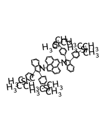 C[Si](C)(C)c1ccc(-c2c(-c3ccc([Si](C)(C)C)cc3)n(-c3cc4cccc5c(-n6c(-c7ccc([Si](C)(C)C)cc7)c(-c7ccc([Si](C)(C)C)cc7)c7ccccc76)cc6cccc3c6c45)c3ccccc23)cc1